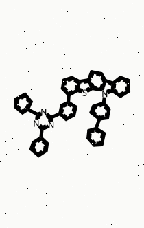 c1ccc(-c2ccc(-n3c4ccccc4c4ccc5c6cccc(-c7cccc(-c8nc(-c9ccccc9)nc(-c9ccccc9)n8)c7)c6sc5c43)cc2)cc1